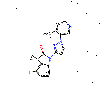 COc1ccncc1-n1ccc(NC(=O)C2(c3ccccc3F)CC2)n1